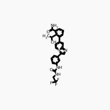 CC(C)c1c(C(N)=O)cccc1-c1ccn2c(-c3cccc(NC(=O)NCC(F)(F)F)c3)cnc2c1